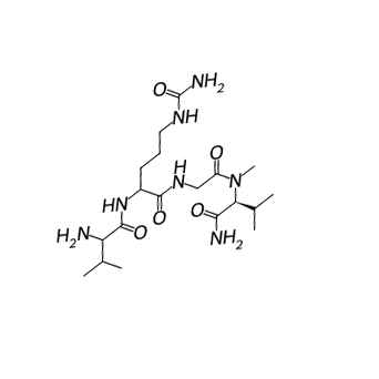 CC(C)C(N)C(=O)NC(CCCNC(N)=O)C(=O)NCC(=O)N(C)[C@H](C(N)=O)C(C)C